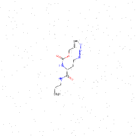 C=CCOC(=O)NC(CCN=[N+]=[N-])C(=O)NCCC(=O)O